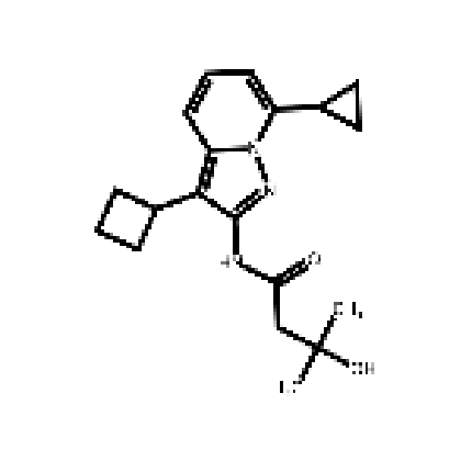 CC(C)(O)CC(=O)Nc1nn2c(C3CC3)cccc2c1C1CCC1